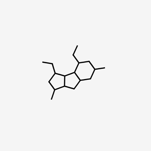 CCC1CC(C)CC2CC3C(C)CC(CC)C3C12